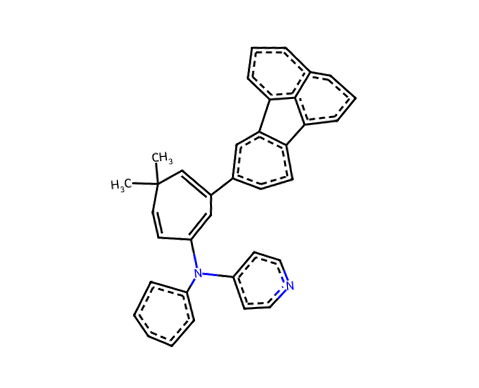 CC1(C)C=CC(N(c2ccccc2)c2ccncc2)=CC(c2ccc3c(c2)-c2cccc4cccc-3c24)=C1